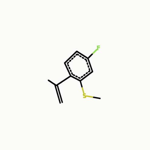 C=C(C)c1ccc(F)cc1SC